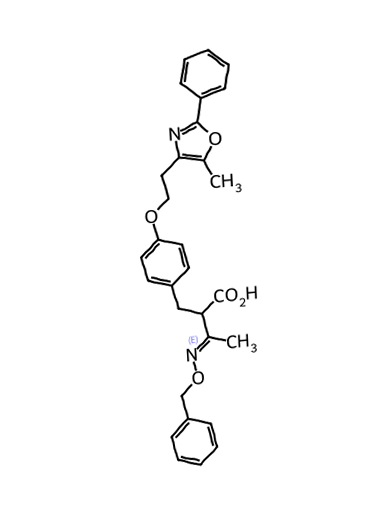 C/C(=N\OCc1ccccc1)C(Cc1ccc(OCCc2nc(-c3ccccc3)oc2C)cc1)C(=O)O